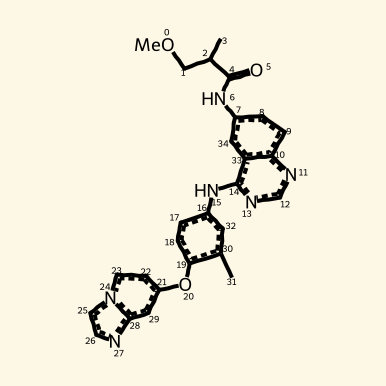 COCC(C)C(=O)Nc1ccc2ncnc(Nc3ccc(Oc4ccn5ccnc5c4)c(C)c3)c2c1